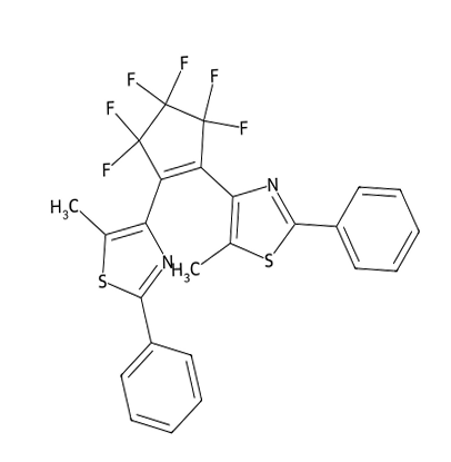 Cc1sc(-c2ccccc2)nc1C1=C(c2nc(-c3ccccc3)sc2C)C(F)(F)C(F)(F)C1(F)F